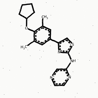 Cc1cc(-c2csc(Nc3cnccn3)n2)cc(C)c1OC1CCCC1